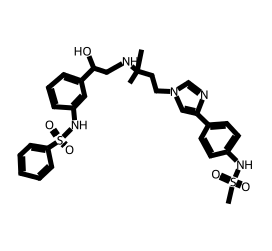 CC(C)(CCn1cnc(-c2ccc(NS(C)(=O)=O)cc2)c1)NCC(O)c1cccc(NS(=O)(=O)c2ccccc2)c1